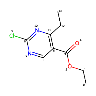 CCOC(=O)c1cnc(Cl)nc1CC